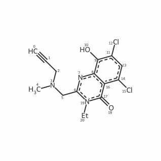 C#CCN(C)Cc1nc2c(O)c(Cl)cc(Cl)c2c(=O)n1CC